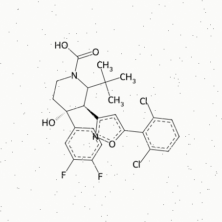 CC(C)(C)C1[C@@H](c2cc(-c3c(Cl)cccc3Cl)on2)[C@@](O)(c2ccc(F)c(F)c2)CCN1C(=O)O